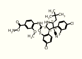 COc1cc(C(=O)ON)ccc1NC(=O)[C@@H]1N[C@@H](CC(C)(C)C)[C@](C#N)(c2ccc(Cl)cc2F)[C@H]1c1ccc(Cl)cc1F